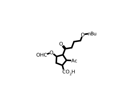 CCCCOCCCC(=O)C1C(OC=O)CC(C(=O)O)C1C(C)=O